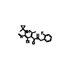 C=N/C(NC1(C)CC1)=C(\CC)C(C(=O)NCc1ccccc1F)=C(C)C